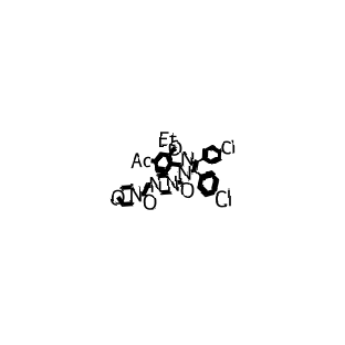 CCOc1cc(C(C)=O)ccc1C1=N[C@@H](c2ccc(Cl)cc2)[C@@H](c2ccc(Cl)cc2)N1C(=O)N1CCN(CC(=O)N2CCOCC2)CC1